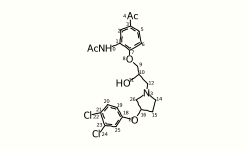 CC(=O)Nc1cc(C(C)=O)ccc1OCC(O)CN1CCC(Oc2ccc(Cl)c(Cl)c2)C1